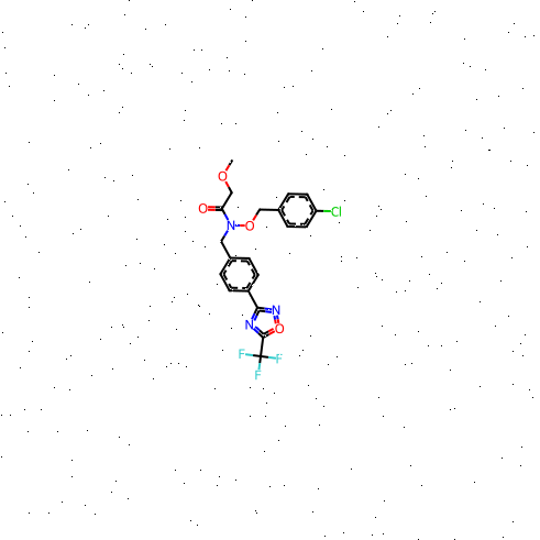 COCC(=O)N(Cc1ccc(-c2noc(C(F)(F)F)n2)cc1)OCc1ccc(Cl)cc1